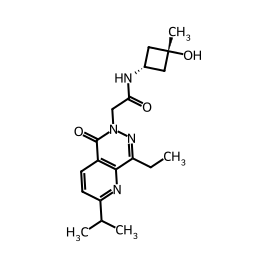 CCc1nn(CC(=O)N[C@H]2C[C@@](C)(O)C2)c(=O)c2ccc(C(C)C)nc12